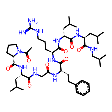 CC(=O)N1CCC[C@H]1C(=O)N[C@@H](CC(C)C)C(=O)NCC(=O)N[C@@H](CCc1ccccc1)C(=O)N[C@@H](CCCNC(=N)N)C(=O)N[C@H](CC(C)C)C(=O)N[C@@H](CC(C)C)C(=O)NCC(C)C